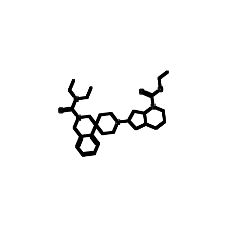 CCOC(=O)N1CCCC2CC(N3CCC4(CC3)CN(C(=O)N(CC)CC)Cc3ccccc34)CC21